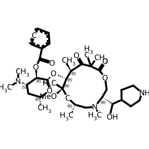 CO[C@]1(C)C[C@@H](C)CN(C)[C@@H](C(O)C2CCNCC2)COC(=O)C(C)(C)C(=O)[C@H](C)[C@H]1O[C@@H]1O[C@H](C)C[C@H](N(C)C)[C@H]1OC(=O)c1ccccc1